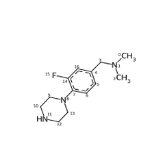 CN(C)Cc1ccc(N2CCNCC2)c(F)c1